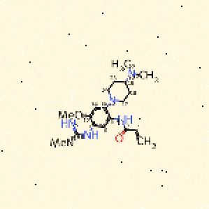 C=CC(=O)Nc1cc(NC(=N)NC)c(OC)cc1N1CCC(N(C)C)CC1